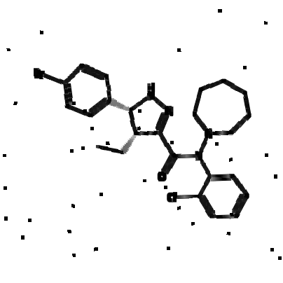 CC[C@H]1C(C(=O)N(c2ccccc2Cl)N2CCCCCC2)=NN[C@H]1c1ccc(Br)cc1